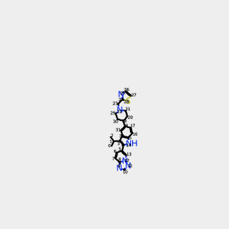 CC(C)c1c(-c2ccc3ncnn3c2)[nH]c2ccc(C3CCN(Cc4nccs4)CC3)cc12